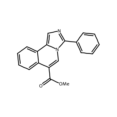 COC(=O)c1cn2c(-c3ccccc3)ncc2c2ccccc12